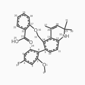 COc1cc(F)ccc1-c1ccc2c(c1COc1ccccc1C(=O)O)C(C)=CC(C)(C)N2